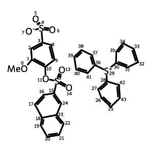 COc1cc(S(=O)(=O)[O-])ccc1OS(=O)(=O)c1ccc2ccccc2c1.c1ccc([S+](c2ccccc2)c2ccccc2)cc1